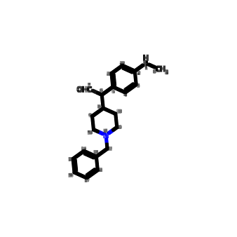 CBc1ccc(C(C=O)C2CCN(Cc3ccccc3)CC2)cc1